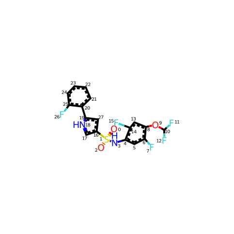 O=S(=O)(Nc1cc(F)c(OC(F)F)cc1F)c1c[nH]c(-c2ccccc2F)c1